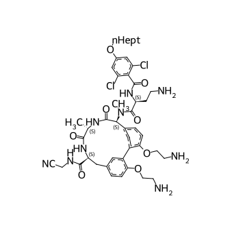 CCCCCCCOc1cc(Cl)c(C(=O)N[C@@H](CCN)C(=O)N(C)[C@@H]2C(=O)N[C@@H](C)C(=O)N[C@H](C(=O)NCC#N)Cc3ccc(OCCN)c(c3)-c3cc2ccc3OCCN)c(Cl)c1